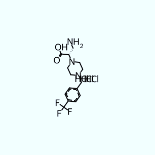 Cl.Cl.Cl.NC[C@@H](C(=O)O)N1CCN(Cc2ccc(C(F)(F)F)cc2)CC1